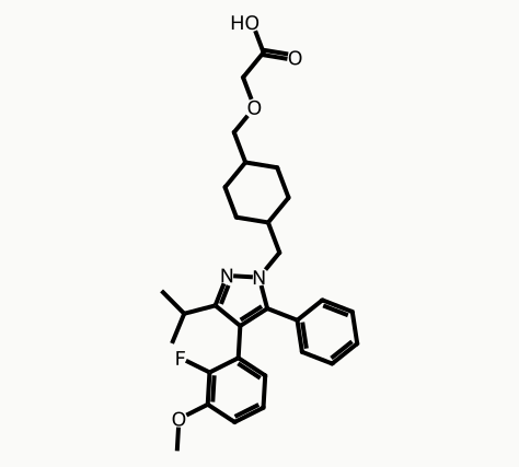 COc1cccc(-c2c(C(C)C)nn(CC3CCC(COCC(=O)O)CC3)c2-c2ccccc2)c1F